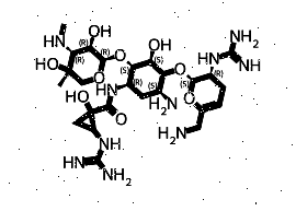 CN[C@@H]1[C@@H](O)[C@@H](O[C@H]2[C@H](NC(=O)C3(O)CC3NC(=N)N)C[C@H](N)C(O[C@H]3OC(CN)=CC[C@H]3NC(=N)N)[C@@H]2O)OC[C@]1(C)O